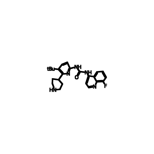 CC(C)(C)c1ccc(NC(=O)Nc2ccnc3c(F)cccc23)nc1C1CCNCC1